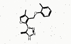 C=C1NN=NN1c1occ(C)c1COc1ccccc1C